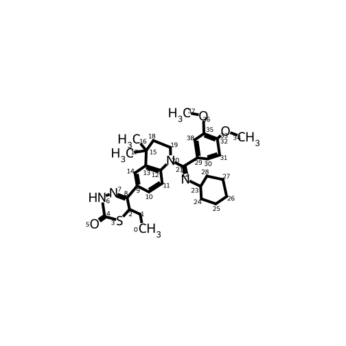 CCC1SC(=O)NN=C1c1ccc2c(c1)C(C)(C)CCN2C(=NC1CCCCC1)c1ccc(OC)c(OC)c1